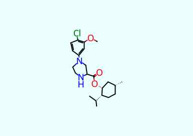 COc1cc(N2CCNC(C(=O)O[C@@H]3C[C@H](C)CC[C@@H]3C(C)C)C2)ccc1Cl